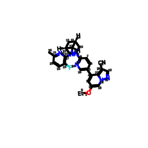 CCOc1cc(-c2ccc(N3C[C@H]4C[C@@H](C3)[C@H]4Nc3nc(C)ccc3F)nc2)c2c(C#N)cnn2c1